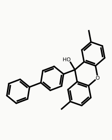 Cc1ccc2c(c1)C(O)(c1ccc(-c3ccccc3)cc1)c1cc(C)ccc1O2